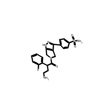 NCCC(C(=O)N1Cc2[nH]nc(-c3ccc(S(N)(=O)=O)cc3)c2C1)c1ccccc1F